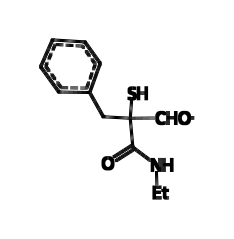 CCNC(=O)C(S)([C]=O)Cc1ccccc1